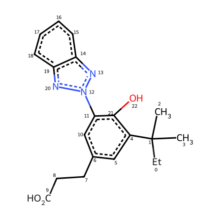 CCC(C)(C)c1cc(CCC(=O)O)cc(-n2nc3ccccc3n2)c1O